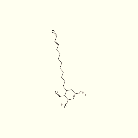 CC1=CC(C)C(C=O)C(CCCCCCCCCC=CC=O)C1